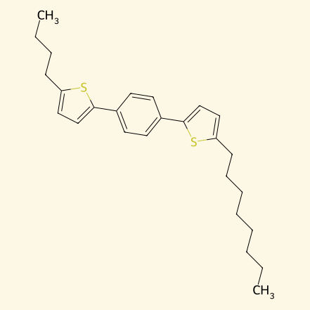 CCCCCCCCc1ccc(-c2ccc(-c3ccc(CCCC)s3)cc2)s1